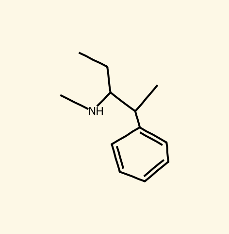 CCC(NC)C(C)c1ccccc1